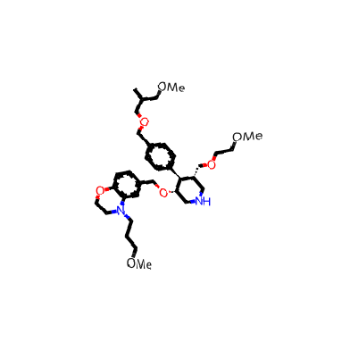 COCCCN1CCOc2ccc(CO[C@H]3CNC[C@@H](COCCOC)[C@@H]3c3ccc(COCC(C)COC)cc3)cc21